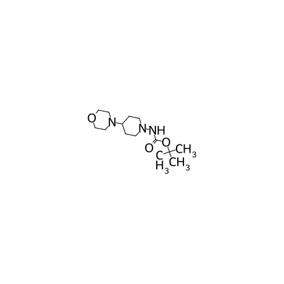 CC(C)(C)OC(=O)NN1CCC(N2CCOCC2)CC1